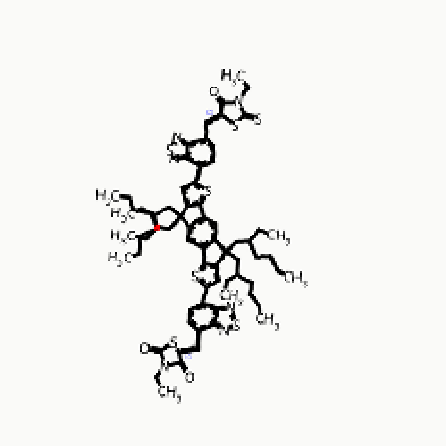 CCCCC(CC)CC1(CC(CC)CCCC)c2cc3c(cc2-c2sc(-c4ccc(/C=C5\SC(=O)N(CC)C5=O)c5nsnc45)cc21)C(CC(CC)CCCC)(CC(CC)CCCC)c1cc(-c2ccc(/C=C4\SC(=S)N(CC)C4=O)c4nsnc24)sc1-3